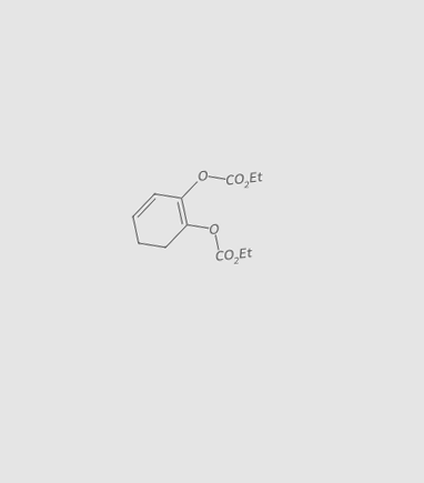 CCOC(=O)OC1=C(OC(=O)OCC)CCC=C1